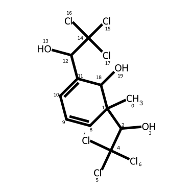 CC1(C(O)C(Cl)(Cl)Cl)C=CC=C(C(O)C(Cl)(Cl)Cl)C1O